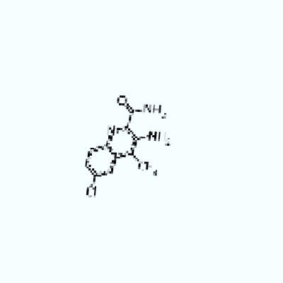 NC(=O)c1nc2ccc(Cl)cc2c(C(F)(F)F)c1N